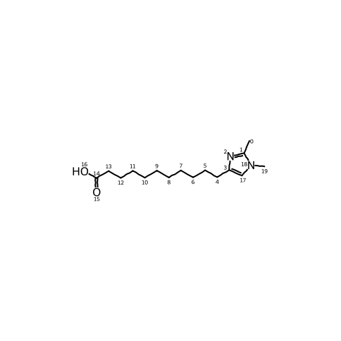 Cc1nc(CCCCCCCCCCC(=O)O)cn1C